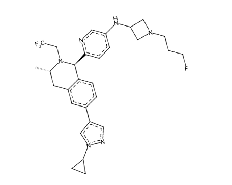 C[C@H]1Cc2cc(-c3cnn(C4CC4)c3)ccc2[C@H](c2ccc(NC3CN(CCCF)C3)cn2)N1CC(F)(F)F